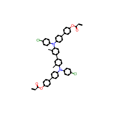 C=CC(=O)Oc1ccc(-c2ccc(N(c3ccc(Cl)cc3)c3ccc(-c4ccc(N(c5ccc(Cl)cc5)c5ccc(-c6ccc(OC(=O)C=C)cc6)cc5)c(C)c4)cc3C)cc2)cc1